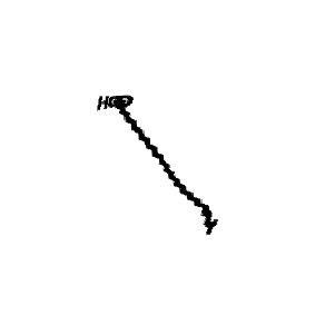 CC(C)CCCCCCCCCCCCCCCCCCCCCCCCCCCCCCCC(=O)O